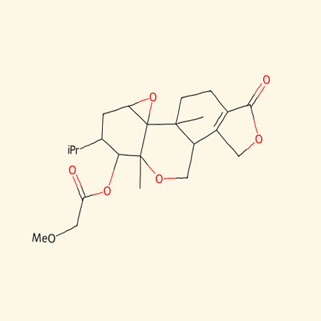 COCC(=O)OC1C(C(C)C)CC2OC23C2(C)CCC4=C(COC4=O)C2COC13C